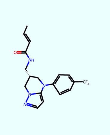 C/C=C/C(=O)NC[C@@H]1CN(c2ccc(C(F)(F)F)cc2)c2ccnn2C1